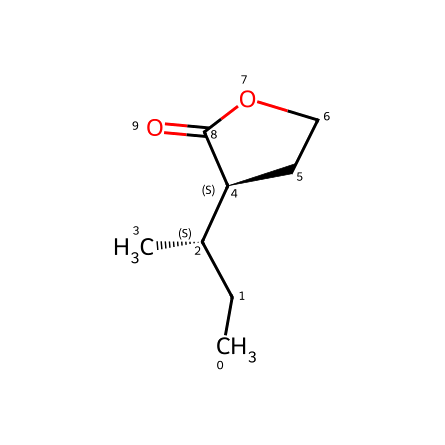 CC[C@H](C)[C@@H]1CCOC1=O